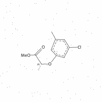 COC(=O)[C@@H](C)Oc1cc(C)cc(Cl)c1